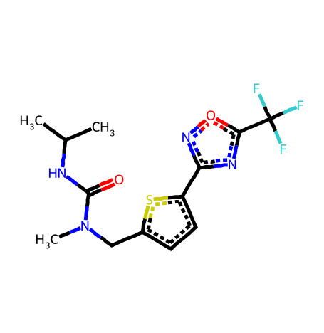 CC(C)NC(=O)N(C)Cc1ccc(-c2noc(C(F)(F)F)n2)s1